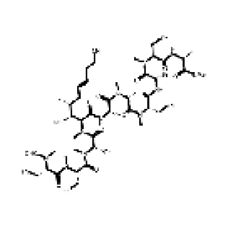 CC[C@H](NC(=O)C([C@H](OC(C)=O)[C@H](C)C/C=C/CCC#N)N(C)C(=O)[C@H](C(C)C)N(C)C(=O)[C@H](CC(C)C)N(C)C(=O)[C@H](CC(C)C)N(C)C=O)C(=O)N(C)[C@H](C)C(=O)N(C)[C@@H](CC(C)C)C(=O)N[C@H](C(=O)N(C)[C@@H](CC(C)C)C(=O)N[C@H](C)C(=O)NC)C(C)C